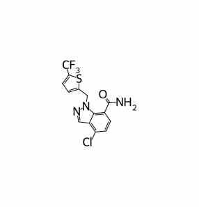 NC(=O)c1ccc(Cl)c2cnn(Cc3ccc(C(F)(F)F)s3)c12